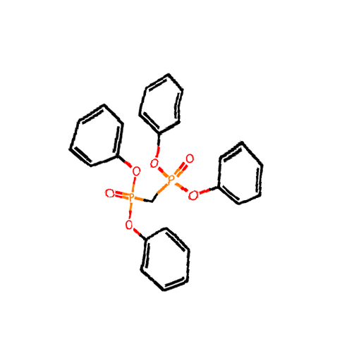 O=P(CP(=O)(Oc1ccccc1)Oc1ccccc1)(Oc1ccccc1)Oc1ccccc1